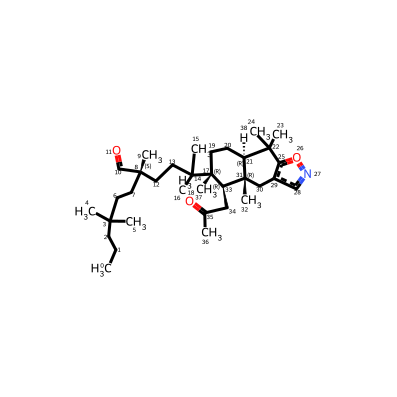 CCCC(C)(C)CC[C@](C)(C=O)CCC(C)(C)[C@]1(C)CC[C@H]2C(C)(C)c3oncc3C[C@]2(C)[C@H]1CC(C)=O